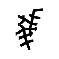 CCC(C)(C)C1(F)C(F)(F)OC(F)(C(F)(F)C(C)(C)C)C1(F)F